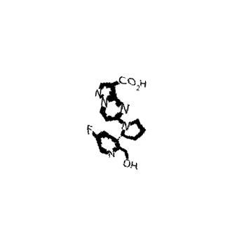 O=C(O)c1cnn2ccc(N3CCC[C@@H]3c3cc(F)cnc3CO)nc12